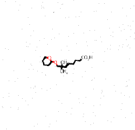 CC(C)(C=CCCCC(=O)O)COC1CCCCO1